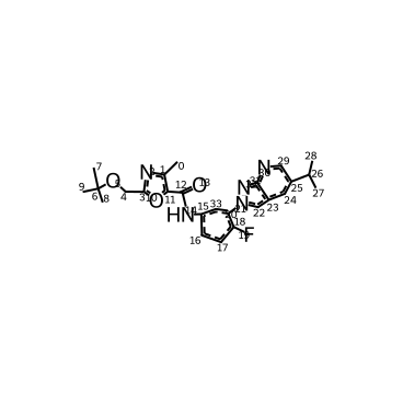 Cc1nc(COC(C)(C)C)oc1C(=O)Nc1ccc(F)c(-n2cc3cc(C(C)C)cnc3n2)c1